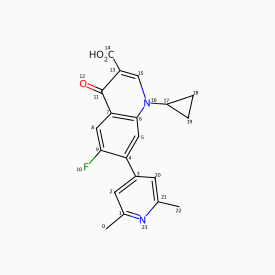 Cc1cc(-c2cc3c(cc2F)c(=O)c(C(=O)O)cn3C2CC2)cc(C)n1